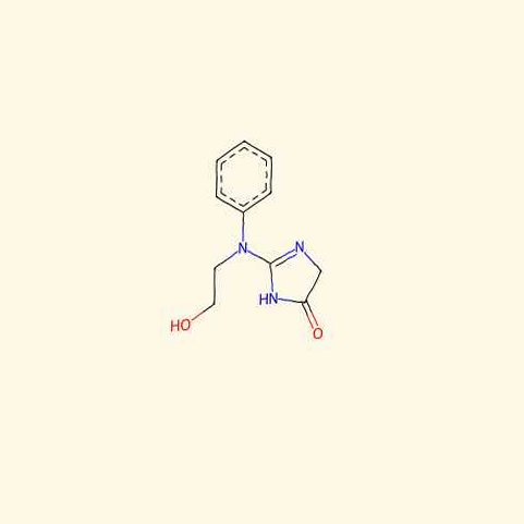 O=C1CN=C(N(CCO)c2ccccc2)N1